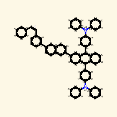 C(=C/c1cccc(-c2ccc3cc(-c4ccc5c(-c6ccc(N(c7ccccc7)c7ccccc7)cc6)c6ccccc6c(-c6ccc(N(c7ccccc7)c7ccccc7)cc6)c5c4)ccc3c2)c1)/c1ccccc1